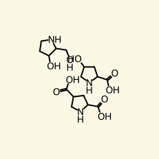 O=C(O)C1CC(O)CN1.O=C(O)C1CNC(C(=O)O)C1.OCC1NCCC1O